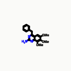 COc1cc2c(Cc3ccccc3)nc(N)nc2c(OC)c1OC